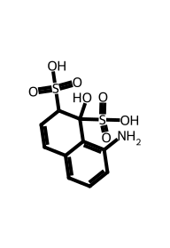 Nc1cccc2c1C(O)(S(=O)(=O)O)C(S(=O)(=O)O)C=C2